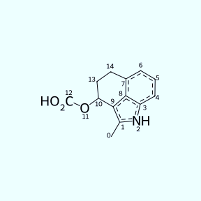 Cc1[nH]c2cccc3c2c1C(OC(=O)O)CC3